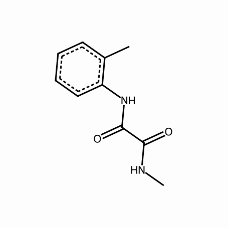 CNC(=O)C(=O)Nc1ccccc1C